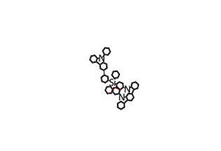 c1ccc(-n2c3ccccc3c3cc(-c4cccc([Si](c5ccccc5)(c5ccccc5)c5ccc(-n6c7ccccc7c7ccc8c9ccccc9n(-c9ccccc9)c8c76)cc5)c4)ccc32)cc1